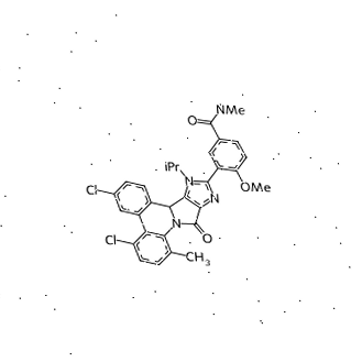 CNC(=O)c1ccc(OC)c(-c2nc3c(n2C(C)C)C2c4ccc(Cl)cc4-c4c(Cl)ccc(C)c4N2C3=O)c1